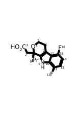 CC(C)C1(CC(=O)O)OCCc2c1[nH]c1c(F)ccc(F)c21